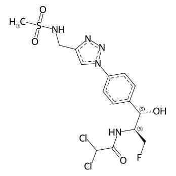 CS(=O)(=O)NCc1cn(-c2ccc([C@H](O)[C@@H](CF)NC(=O)C(Cl)Cl)cc2)nn1